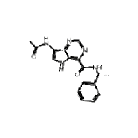 CC(=O)Nc1c[nH]c2c(C(=O)N[C@H](C)c3ccccc3)ncnc12